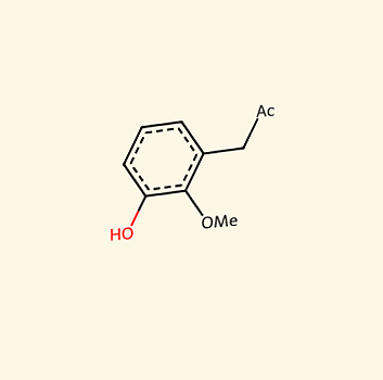 COc1c(O)cccc1CC(C)=O